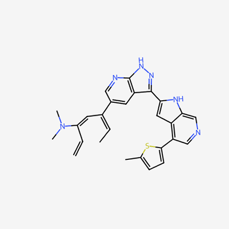 C=C/C(=C\C(=C/C)c1cnc2[nH]nc(-c3cc4c(-c5ccc(C)s5)cncc4[nH]3)c2c1)N(C)C